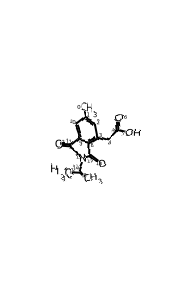 Cc1cc(CC(=O)O)c2c(c1)C(=O)N(C(C)C)C2=O